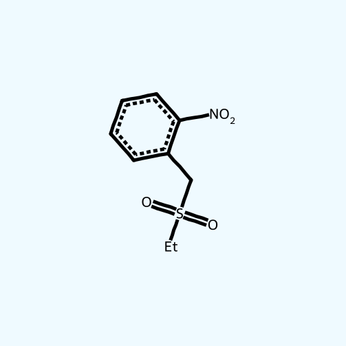 CCS(=O)(=O)Cc1ccccc1[N+](=O)[O-]